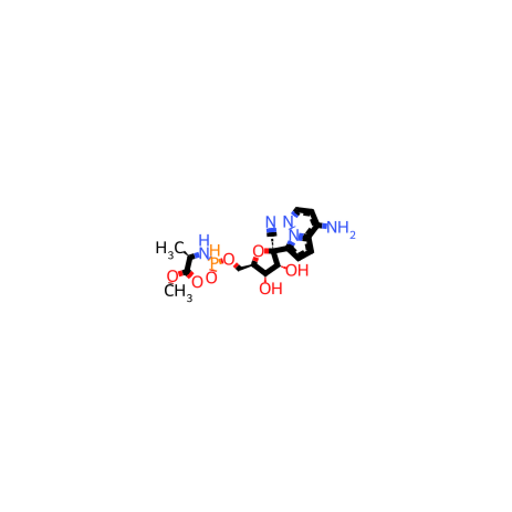 COC(=O)[C@H](C)N[PH](=O)OC[C@H]1O[C@@](C#N)(c2ccc3c(N)ccnn23)[C@H](O)[C@@H]1O